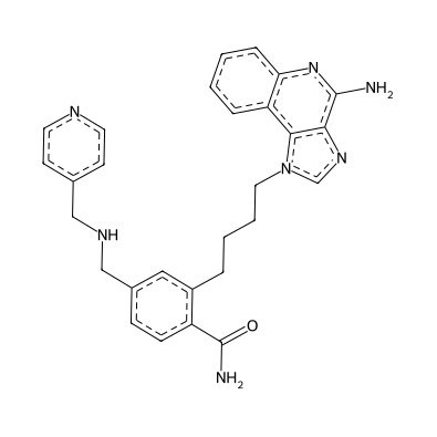 NC(=O)c1ccc(CNCc2ccncc2)cc1CCCCn1cnc2c(N)nc3ccccc3c21